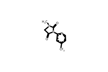 CN1CC(=O)N(c2cc(C(F)(F)F)ccn2)C1=O